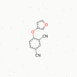 N#Cc1ccc(Oc2ccoc2)c(C#N)c1